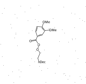 [CH2]CCCCCCCCCC[CH]OOC(=O)c1ccc(OC)c(OC)c1